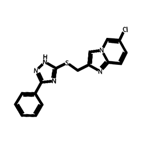 Clc1ccc2nc(CSc3nc(-c4ccccc4)n[nH]3)cn2c1